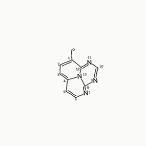 CC1=CC=C2C=CN=C3N=CN=C1N23